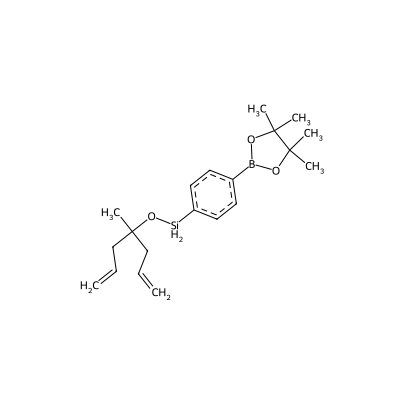 C=CCC(C)(CC=C)O[SiH2]c1ccc(B2OC(C)(C)C(C)(C)O2)cc1